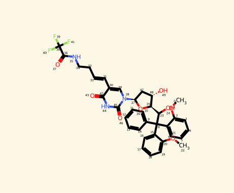 COc1ccccc1C(c1ccccc1)(c1ccccc1OC)C(O)[C@H]1O[C@@H](n2cc(/C=C/CCNC(=O)C(F)(F)F)c(=O)[nH]c2=O)C[C@@H]1O